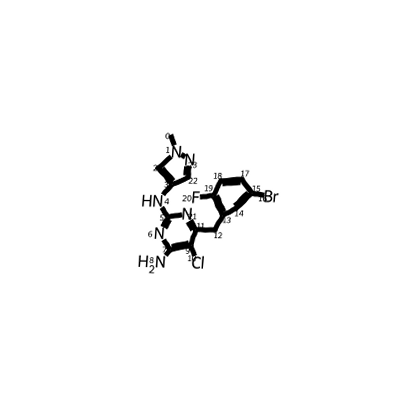 Cn1cc(Nc2nc(N)c(Cl)c(Cc3cc(Br)ccc3F)n2)cn1